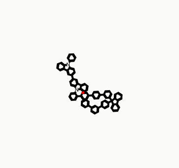 c1ccc(-c2cccc(-c3ccc(C4(c5cccc(-c6ccc(-c7ccc(-c8ccccc8-n8c9ccccc9c9cc(-c%10ccc%11c(c%10)c%10ccccc%10n%11-c%10ccccc%10)ccc98)cc7)cc6)c5)c5ccccc5-c5ccccc54)cc3)c2)cc1